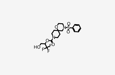 O=C(OC(CO)C(F)(F)F)N1CCC2(CC1)CN(S(=O)(=O)c1ccccc1)CCO2